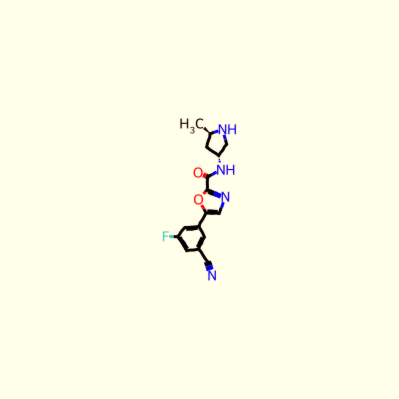 C[C@@H]1C[C@@H](NC(=O)c2ncc(-c3cc(F)cc(C#N)c3)o2)CN1